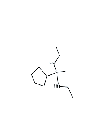 CCN[Si](C)(NCC)C1CCCC1